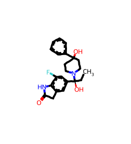 CC[C@](O)(c1cc(F)c2c(c1)CC(=O)N2)N1CCC(O)(c2ccccc2)CC1